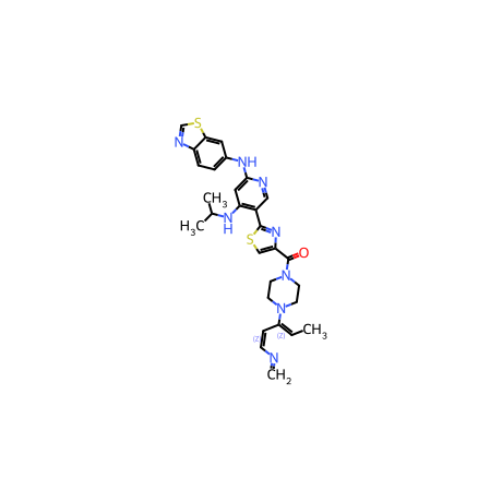 C=N/C=C\C(=C\C)N1CCN(C(=O)c2csc(-c3cnc(Nc4ccc5ncsc5c4)cc3NC(C)C)n2)CC1